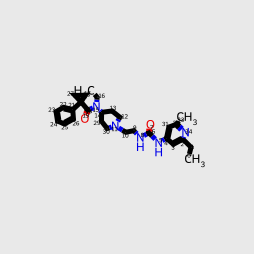 CCc1cc(NC(=O)NCCN2CCC(N(CC)C(=O)C3(c4ccccc4)CC3)CC2)cc(C)n1